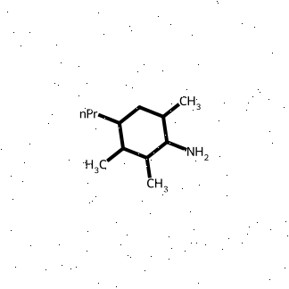 CCCC1CC(C)C(N)C(C)C1C